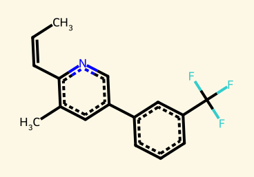 C/C=C\c1ncc(-c2cccc(C(F)(F)F)c2)cc1C